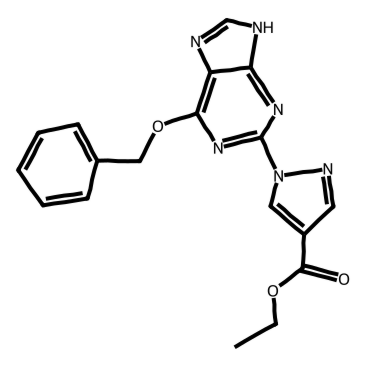 CCOC(=O)c1cnn(-c2nc(OCc3ccccc3)c3nc[nH]c3n2)c1